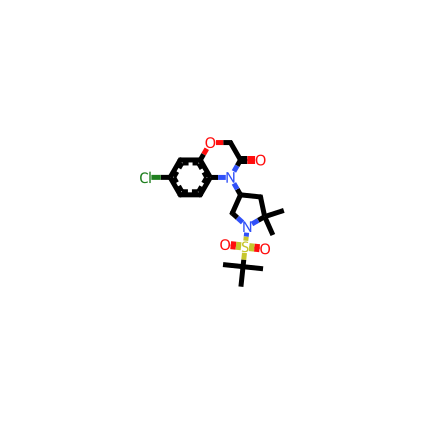 CC1(C)CC(N2C(=O)COc3cc(Cl)ccc32)CN1S(=O)(=O)C(C)(C)C